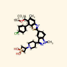 Cc1cc2nc(-c3ccc4c(c3)c(C3CCN(C5CS(O)(O)C5)CC3)nn4C)sc2c(-c2ccc(Cl)cc2)c1[C@H](OC(C)(C)C)C(=O)O